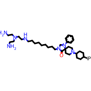 CC(C)C1CCC(N2CCC3(CC2)C(=O)N(CCCCCCCCCNCCN(CCN)CCN)CN3c2ccccc2)CC1